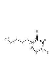 Cc1ccn(CCCCCl)c(=O)c1